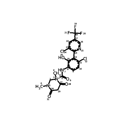 CN1C[N+](C)(C(=O)Nc2ccc(Cl)c(-c3ncc(C(F)(F)F)cc3Cl)c2O)C(=O)CC1=O